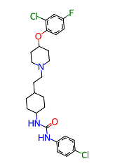 O=C(Nc1ccc(Cl)cc1)NC1CCC(CCN2CCC(Oc3ccc(F)cc3Cl)CC2)CC1